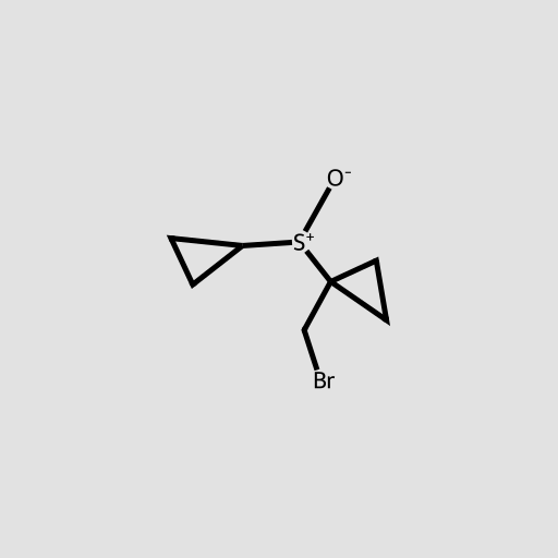 [O-][S+](C1CC1)C1(CBr)CC1